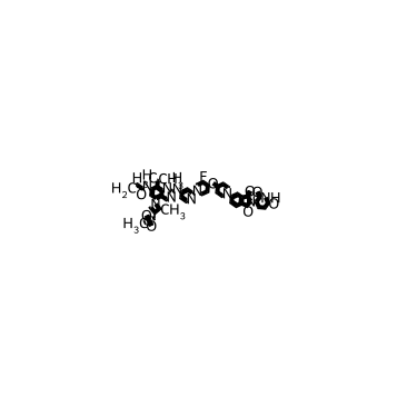 C=CC(=O)Nc1cc(N2C[C@H](CS(C)(=O)=O)[C@H]2C)c2cnc(Nc3ccnc(N4CC[C@@H](OC5CCN(c6ccc7c(c6)C(=O)N(C6CCC(=O)NC6=O)C7=O)CC5)[C@@H](F)C4)c3)nc2c1C(C)C